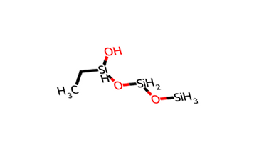 CC[SiH](O)O[SiH2]O[SiH3]